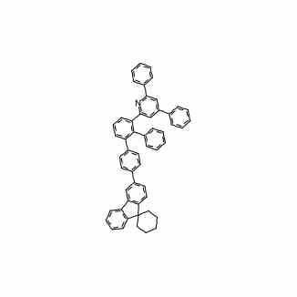 c1ccc(-c2cc(-c3ccccc3)nc(-c3cccc(-c4ccc(-c5ccc6c(c5)-c5ccccc5C65CCCCC5)cc4)c3-c3ccccc3)c2)cc1